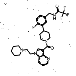 O=C(c1cn(CCN2CCCCC2)c2cccnc12)N1CCC(c2cc(CNC(=O)C(F)(F)F)ccc2F)CC1